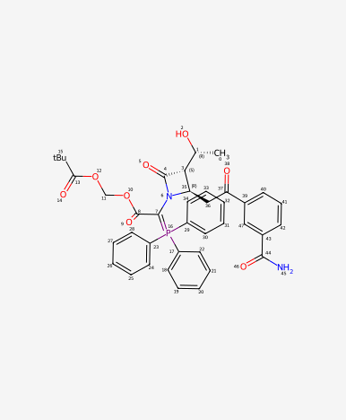 C[C@@H](O)[C@H]1C(=O)N(C(C(=O)OCOC(=O)C(C)(C)C)=P(c2ccccc2)(c2ccccc2)c2ccccc2)[C@@H]1CC(=O)c1cccc(C(N)=O)c1